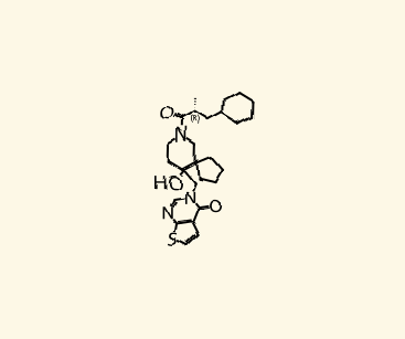 C[C@H](CC1CCCCC1)C(=O)N1CCC(O)(Cn2cnc3sccc3c2=O)C2(CCCC2)C1